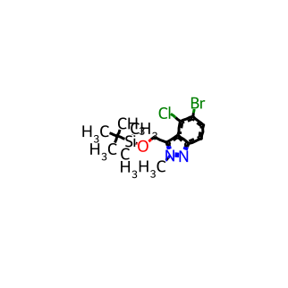 Cn1nc2ccc(Br)c(Cl)c2c1CO[Si](C)(C)C(C)(C)C